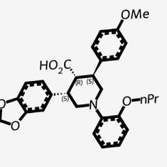 CCCOc1ccccc1N1C[C@H](c2ccc(OC)cc2)[C@@H](C(=O)O)[C@@H](c2ccc3c(c2)OCO3)C1